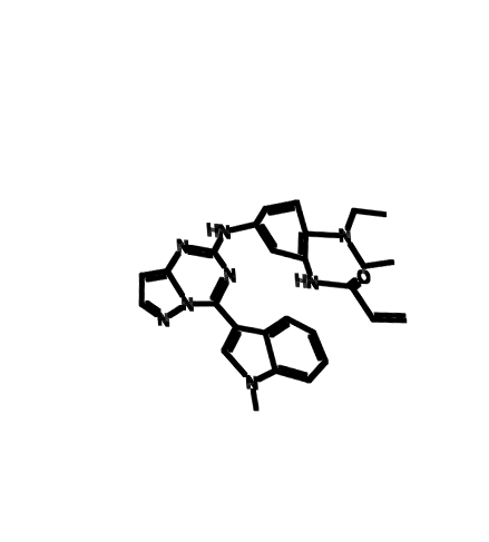 C=CC(=O)Nc1cc(Nc2nc(-c3cn(C)c4ccccc34)n3nccc3n2)ccc1N(CC)CC